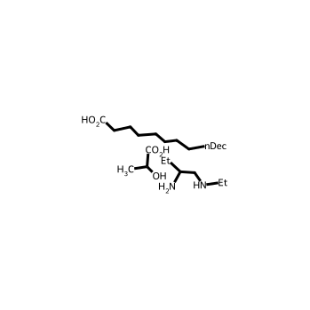 CC(O)C(=O)O.CCCCCCCCCCCCCCCCCC(=O)O.CCNCC(N)CC